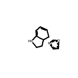 C1=CCC2CCNC2=C1.c1cocn1